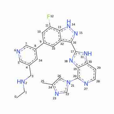 CCNCc1cncc(-c2cc(F)c3[nH]nc(-c4nc5c(-n6cnc(C)c6)nccc5[nH]4)c3c2)c1